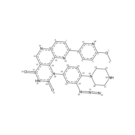 COc1ccc(-c2ccc3ncc4c(=O)[nH]c(=O)n(-c5ccc(N6CCNCC6)c(N=[N+]=[N-])c5)c4c3n2)cn1